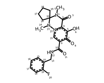 CN1C(=O)c2c(O)c(=O)c(C(=O)NCc3ccccc3F)cn2N(C)C12CCCC2